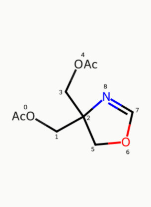 CC(=O)OCC1(COC(C)=O)COC=N1